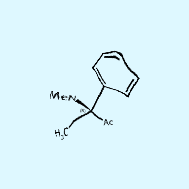 CN[C@](C)(C(C)=O)c1ccccc1